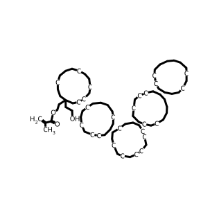 C1CCCCCCCCCCCCCC1.C1CCCCCCCCCCCCCC1.C1CCCCCCCCCCCCCC1.C1CCCCCCCCCCCCCC1.C=C(C)C(=O)OCCC1(CCO)CCCCCCCCCCCCCC1